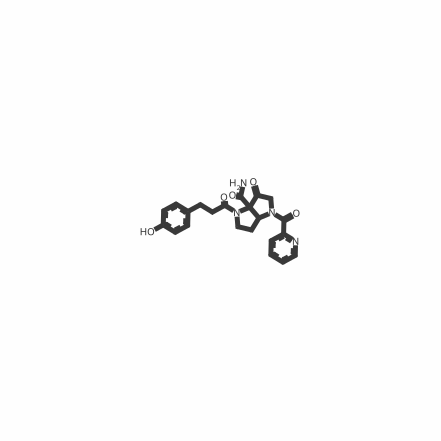 NC(=O)C12C(=O)CN(C(=O)c3ccccn3)C1CCN2C(=O)[CH]Cc1ccc(O)cc1